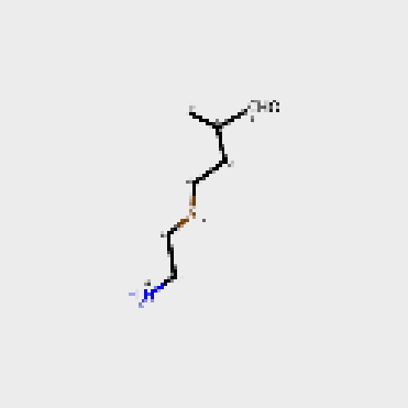 CC(C=O)CCSCCN